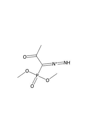 COP(=O)(OC)C(=[N+]=N)C(C)=O